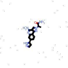 CC(C(N)=O)n1cc2c(N)nc3cc(-c4ccn[nH]4)ccc3c2n1